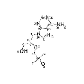 CP(C)(=O)CO[C@H](CO)Cn1cnc2c(N)ncnc21